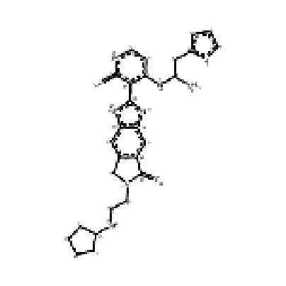 CC(Cc1cccs1)Nc1cc[nH]c(=O)c1-c1nc2cc3c(cc2[nH]1)CN(CCNC1CCCC1)C3=O